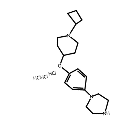 Cl.Cl.Cl.c1cc(N2CCNCC2)ccc1OC1CCN(C2CCC2)CC1